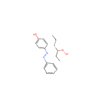 CCCC(CC)OO.Oc1ccc(N=Nc2ccccc2)cc1